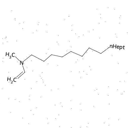 C=CN(C)CCCCCCCCCCCCCCC